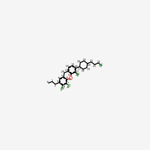 CCCc1cc2c(c(F)c1F)Oc1c(ccc(C3CCC(CCCF)CC3)c1F)C2